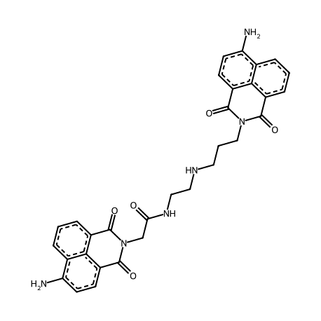 Nc1ccc2c3c(cccc13)C(=O)N(CCCNCCNC(=O)CN1C(=O)c3cccc4c(N)ccc(c34)C1=O)C2=O